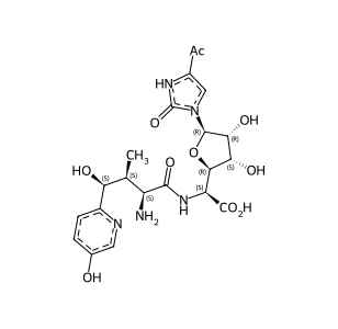 CC(=O)c1cn([C@@H]2O[C@H]([C@H](NC(=O)[C@@H](N)[C@H](C)[C@H](O)c3ccc(O)cn3)C(=O)O)[C@@H](O)[C@H]2O)c(=O)[nH]1